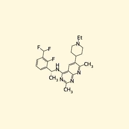 CCN1CCC(c2cc3c(N[C@H](C)c4cccc(C(F)F)c4F)nc(C)nc3nc2C)CC1